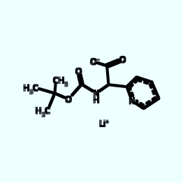 CC(C)(C)OC(=O)NC(C(=O)[O-])c1ccccn1.[Li+]